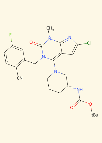 Cn1c2nc(Cl)cc-2c(N2CCC[C@@H](NC(=O)OC(C)(C)C)C2)n(Cc2cc(F)ccc2C#N)c1=O